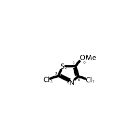 COc1sc(Cl)nc1Cl